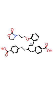 O=C(O)c1ccc(CCC(/C=C/c2ccccc2OCCCN2CCOC2=O)Cc2ccc(C(=O)O)cc2)cc1